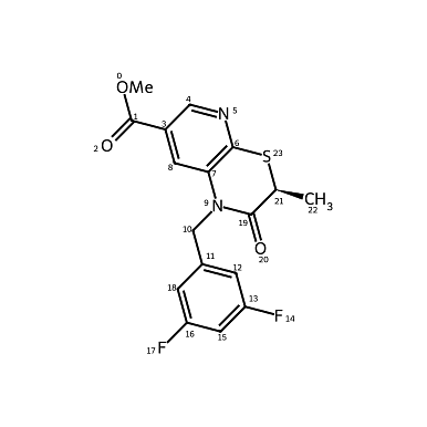 COC(=O)c1cnc2c(c1)N(Cc1cc(F)cc(F)c1)C(=O)[C@H](C)S2